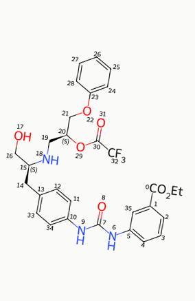 CCOC(=O)c1cccc(NC(=O)Nc2ccc(C[C@@H](CO)NC[C@@H](COc3ccccc3)OC(=O)C(F)(F)F)cc2)c1